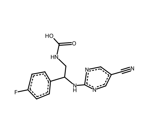 N#Cc1cnc(NC(CNC(=O)O)c2ccc(F)cc2)nc1